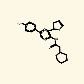 Nc1ccc(-c2cnc(NC(=O)CC3CCCCC3)c(C3CC=CS3)n2)cc1